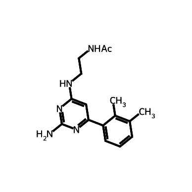 CC(=O)NCCNc1cc(-c2cccc(C)c2C)nc(N)n1